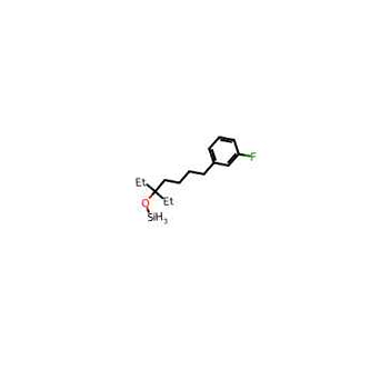 CCC(CC)(CCCCc1cccc(F)c1)O[SiH3]